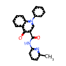 Cc1cccc(NC(=O)c2cn(-c3ccccc3)c3ccccc3c2=O)n1